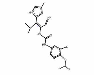 Cc1c[nH]c(/C(=C(\C=N)NC(=O)Nc2cnc(OC(F)F)c(Cl)c2)C(C)C)c1